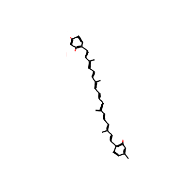 CC(/C=C/C=C(C)/C=C/c1ccc(C)cc1O)=C\C=C\C=C(C)\C=C\C=C(C)\C=C\c1ccc(O)cc1O